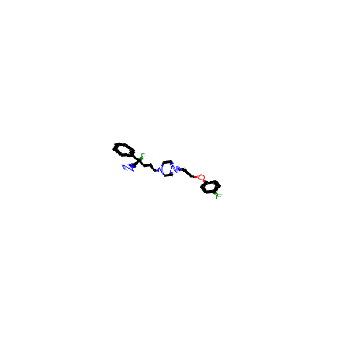 N#CC(F)(CCCN1CCN(CCOc2ccc(F)cc2)CC1)c1ccccc1